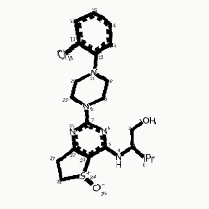 CC(C)C(CO)Nc1nc(N2CCN(c3ccccc3Cl)CC2)nc2c1[S+]([O-])CC2